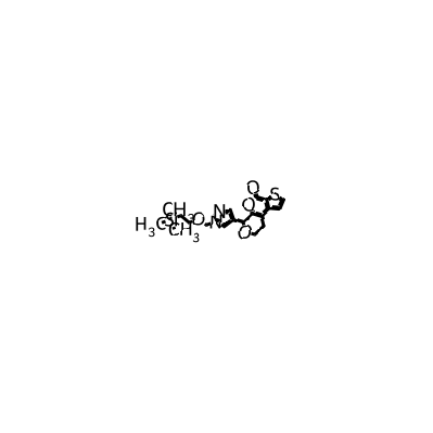 C[Si](C)(C)CCOCn1cc(C2OCCc3c2oc(=O)c2sccc32)cn1